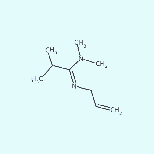 C=CC/N=C(/C(C)C)N(C)C